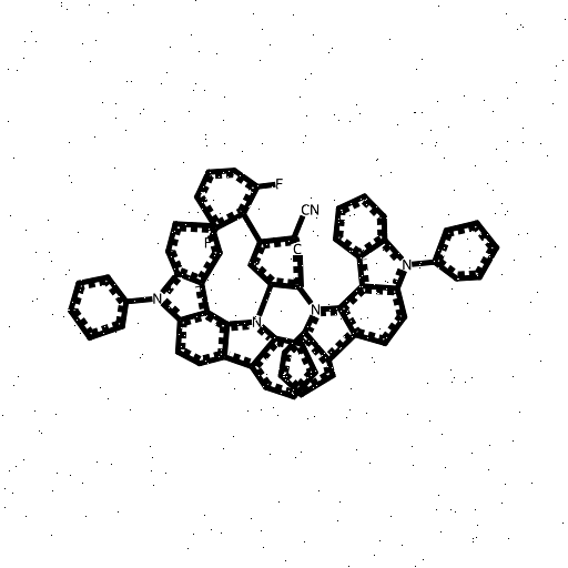 N#Cc1cc(-n2c3ccccc3c3ccc4c(c5ccccc5n4-c4ccccc4)c32)c(-n2c3ccccc3c3ccc4c(c5ccccc5n4-c4ccccc4)c32)cc1-c1c(F)cccc1F